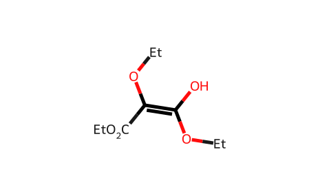 CCOC(=O)C(OCC)=C(O)OCC